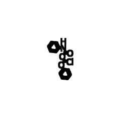 O=C(Nc1ccccc1)OC(Cl)Oc1ccccc1